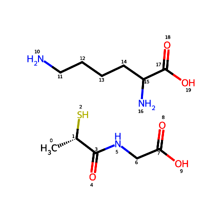 C[C@H](S)C(=O)NCC(=O)O.NCCCCC(N)C(=O)O